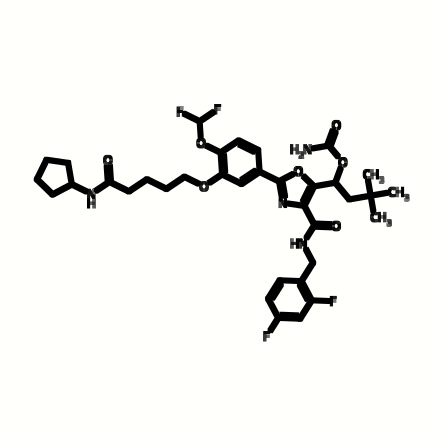 CC(C)(C)CC(OC(N)=O)c1oc(-c2ccc(OC(F)F)c(OCCCCC(=O)NC3CCCC3)c2)nc1C(=O)NCc1ccc(F)cc1F